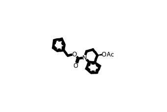 CC(=O)O[C@@H]1CCN(C(=O)OCc2ccccc2)c2ccccc21